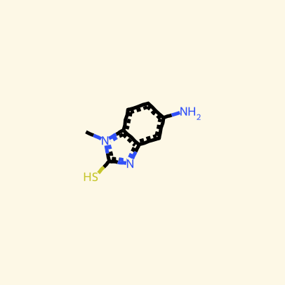 Cn1c(S)nc2cc(N)ccc21